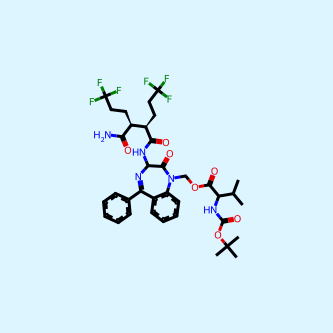 CC(C)C(NC(=O)OC(C)(C)C)C(=O)OCN1C(=O)C(NC(=O)[C@H](CCC(F)(F)F)[C@H](CCC(F)(F)F)C(N)=O)N=C(c2ccccc2)c2ccccc21